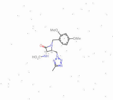 COc1ccc(CN2C(=O)[C@@H](NC(=O)O)[C@@H]2Cn2nnc(C)n2)c(OC)c1